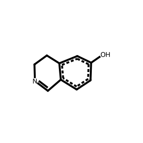 Oc1ccc2c(c1)CCN=C2